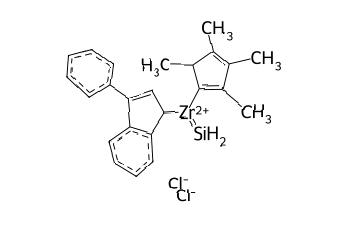 CC1=C(C)C(C)[C]([Zr+2](=[SiH2])[CH]2C=C(c3ccccc3)c3ccccc32)=C1C.[Cl-].[Cl-]